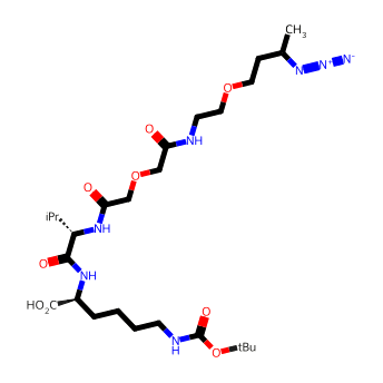 CC(CCOCCNC(=O)COCC(=O)N[C@H](C(=O)N[C@@H](CCCCNC(=O)OC(C)(C)C)C(=O)O)C(C)C)N=[N+]=[N-]